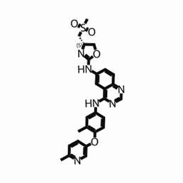 Cc1ccc(Oc2ccc(Nc3ncnc4ccc(NC5=N[C@H](CS(C)(=O)=O)CO5)cc34)cc2C)cn1